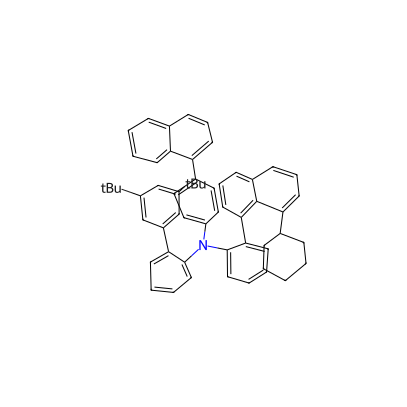 CC(C)(C)c1cc(-c2ccccc2N(c2ccc(-c3cccc4ccccc34)cc2)c2ccccc2-c2cccc3cccc(C4CCCCC4)c23)cc(C(C)(C)C)c1